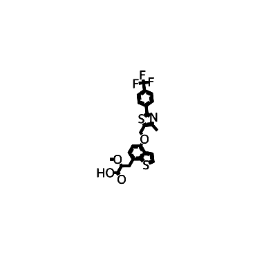 COC(Cc1ccc(OCc2sc(-c3ccc(C(F)(F)F)cc3)nc2C)c2ccsc12)C(=O)O